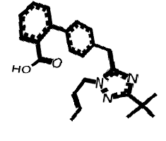 C/C=C/Cn1nc(C(C)(C)C)nc1Cc1ccc(-c2ccccc2C(=O)O)cc1